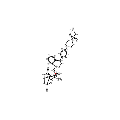 NC(=O)C12CC3C[C@H](C1)C(NC(=O)ON1CCN(c4ccc(N5CCN(S(=O)(=O)CC(F)(F)F)CC5)cc4)c4ccccc41)[C@@H](C3)C2